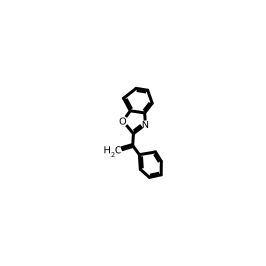 C=C(c1ccccc1)c1nc2ccccc2o1